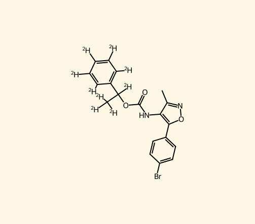 [2H]c1c([2H])c([2H])c(C([2H])(OC(=O)Nc2c(C)noc2-c2ccc(Br)cc2)C([2H])([2H])[2H])c([2H])c1[2H]